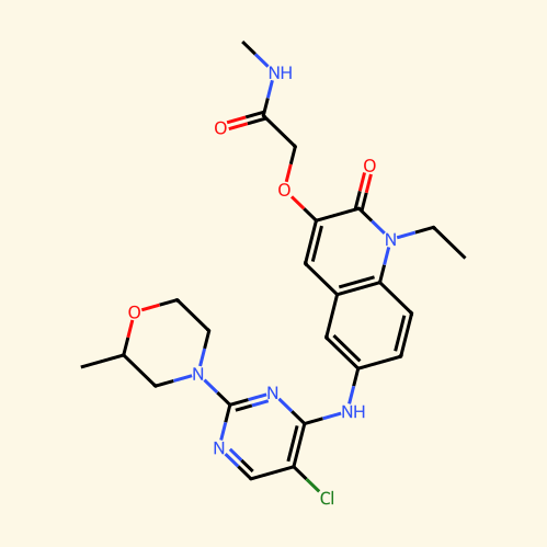 CCn1c(=O)c(OCC(=O)NC)cc2cc(Nc3nc(N4CCOC(C)C4)ncc3Cl)ccc21